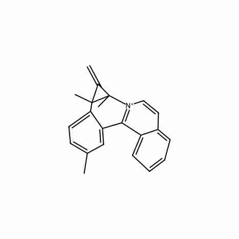 C=C1C2(C)c3ccc(C)cc3-c3c4ccccc4cc[n+]3C12C